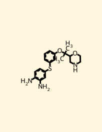 CC(C)(Oc1cccc(Sc2ccc(N)c(N)c2)c1)C1CNCCO1